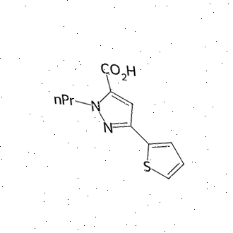 CCCn1nc(-c2cccs2)cc1C(=O)O